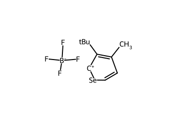 Cc1cc[se][cH+]c1C(C)(C)C.F[B-](F)(F)F